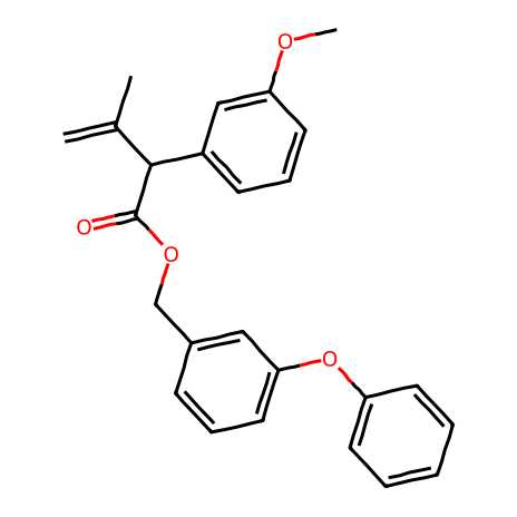 C=C(C)C(C(=O)OCc1cccc(Oc2ccccc2)c1)c1cccc(OC)c1